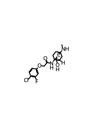 CNC12CCC(NC(=O)COc3ccc(Cl)c(F)c3)(CC1)[C@@H](O)C2